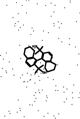 CC(C)(N)c1ccc2c(c1-c1c(C(C)(C)O)ccc3c1CCCC3)CCCC2